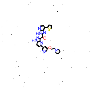 O=C(c1nc2c(-c3cccs3)ccnc2[nH]1)c1n[nH]c2ccc(-c3cncc(OCCN4CCCC4)c3)nc12